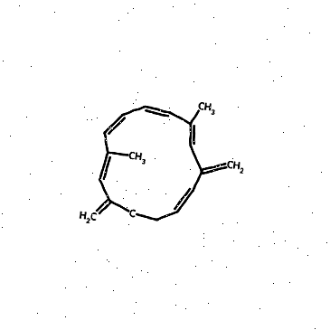 C=C1/C=C\CCC(=C)/C=C(C)/C=C\C=C/C(C)=C/1